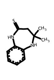 CC1(C)CC(=S)Nc2ccccc2N1